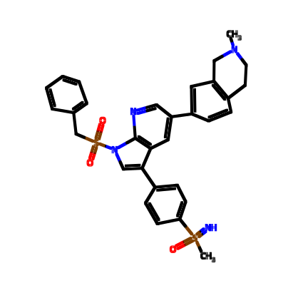 CN1CCc2ccc(-c3cnc4c(c3)c(-c3ccc(S(C)(=N)=O)cc3)cn4S(=O)(=O)Cc3ccccc3)cc2C1